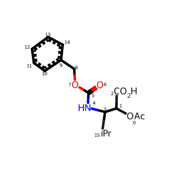 CC(=O)OC(C(=O)O)C(NC(=O)OCc1ccccc1)C(C)C